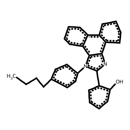 CCCCc1ccc(-n2c(-c3ccccc3O)nc3c4ccccc4c4ccccc4c32)cc1